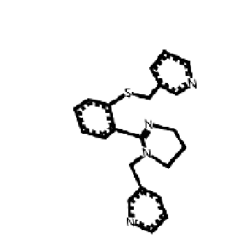 c1cncc(CSc2ccccc2C2=NCCCN2Cc2cccnc2)c1